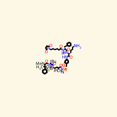 CN[C@H](C(=O)N[C@H](C(=O)N(C)[C@H](/C=C(\C)C(=O)NS(=O)(=O)Cc1ccc(NC(=O)[C@H](CCCCN)NC(=O)[C@H](Cc2ccccc2)NC(=O)CCCCCN2C(=O)C=CC2=O)cc1)C(C)C)C(C)(C)C)C(C)(C)c1ccccc1